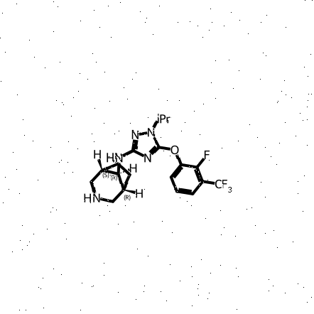 CC(C)n1nc(N[C@H]2[C@@H]3CC[C@H]2CNC3)nc1Oc1cccc(C(F)(F)F)c1F